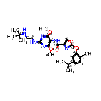 COc1nc(NCCNC(C)(C)C)nc(OC)c1NC(=O)c1coc(Oc2cc(C(C)C)ccc2C)n1